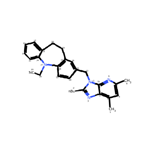 CCCCc1nc2c(C)cc(C)nc2n1Cc1ccc2c(c1)CCc1ccccc1N2CC#N